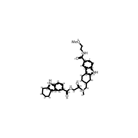 COCCNC(=O)c1ccc2[nH]c3c(c2c1)CCC(CN(C)C(=O)COC(=O)c1ccc2[nH]c4c(c2c1)CCCC4)C3